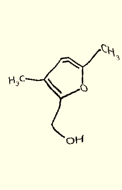 Cc1cc(C)c(CO)o1